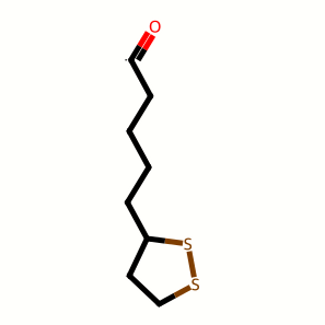 O=[C]CCCCC1CCSS1